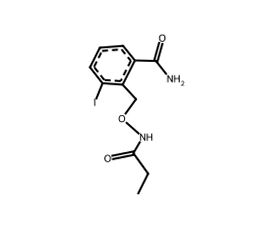 CCC(=O)NOCc1c(I)cccc1C(N)=O